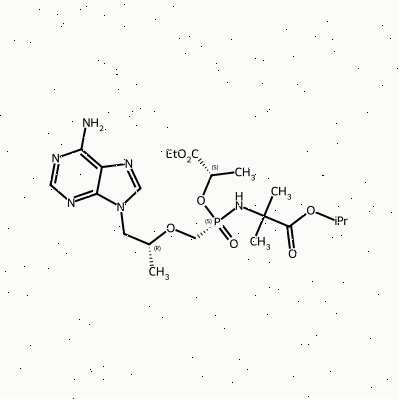 CCOC(=O)[C@H](C)O[P@@](=O)(CO[C@H](C)Cn1cnc2c(N)ncnc21)NC(C)(C)C(=O)OC(C)C